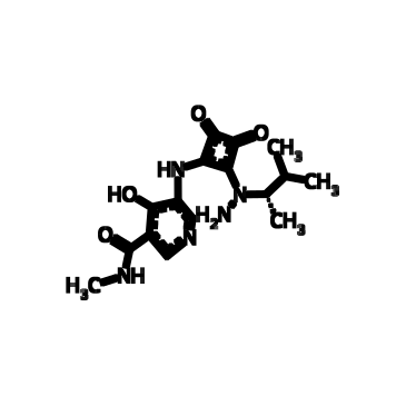 CNC(=O)c1cncc(Nc2c(N(N)[C@@H](C)C(C)C)c(=O)c2=O)c1O